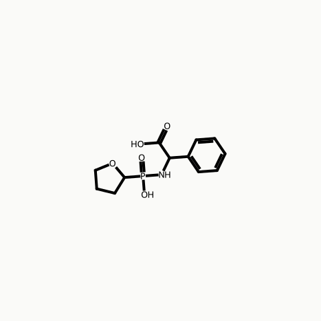 O=C(O)C(NP(=O)(O)C1CCCO1)c1ccccc1